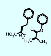 C=C(C)C(=O)Oc1ccccc1.CC(=CCc1ccccc1)C(=O)O